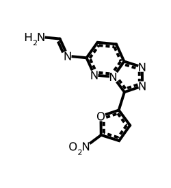 NC=Nc1ccc2nnc(-c3ccc([N+](=O)[O-])o3)n2n1